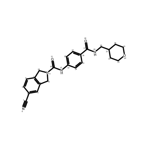 N#Cc1ccc2c(c1)CN(C(=O)Nc1ccc(C(=O)NCC3CCOCC3)cc1)C2